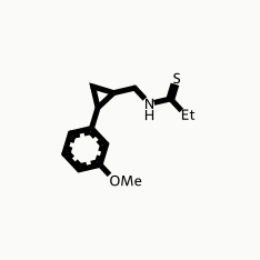 CCC(=S)NCC1CC1c1cccc(OC)c1